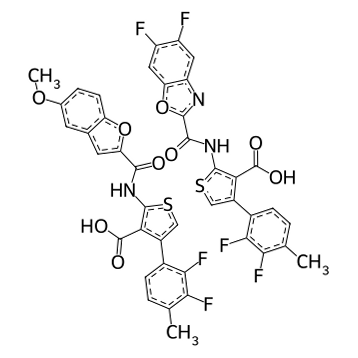 COc1ccc2oc(C(=O)Nc3scc(-c4ccc(C)c(F)c4F)c3C(=O)O)cc2c1.Cc1ccc(-c2csc(NC(=O)c3nc4cc(F)c(F)cc4o3)c2C(=O)O)c(F)c1F